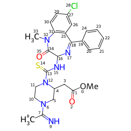 COC(=O)CC1CN(C(C)=N)CCN1C(=S)NC1N=C(c2ccccc2)c2cc(Cl)ccc2N(C)C1=O